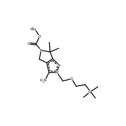 CC(C)(C)OC(=O)N1Cc2c(nn(COCC[Si](C)(C)C)c2N)C1(C)C